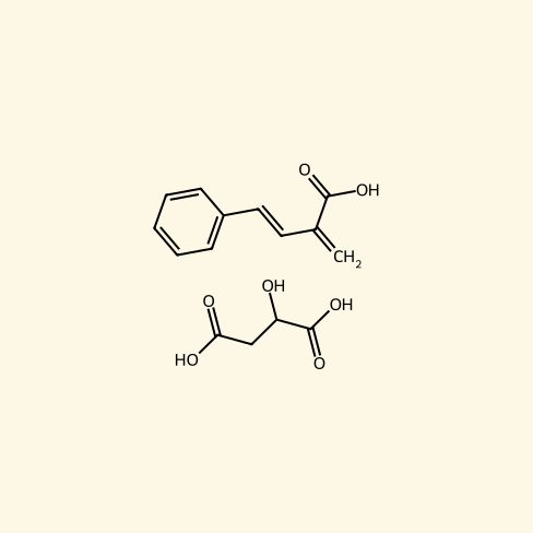 C=C(C=Cc1ccccc1)C(=O)O.O=C(O)CC(O)C(=O)O